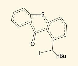 CCCCC(I)c1cccc2sc3ccccc3c(=O)c12